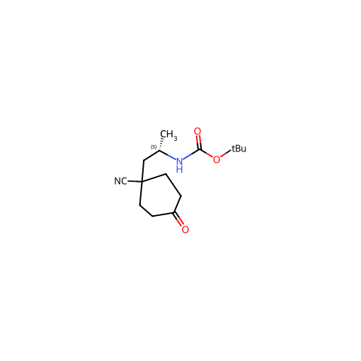 C[C@@H](CC1(C#N)CCC(=O)CC1)NC(=O)OC(C)(C)C